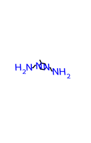 CC1CN(CCN)CCN1CCN